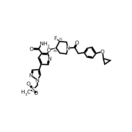 CS(=O)(=O)Cn1cc(-c2cnc(O[C@@H]3CCN(C(=O)Cc4ccc(OC5CC5)cc4)C[C@@H]3F)c(C(N)=O)c2)cn1